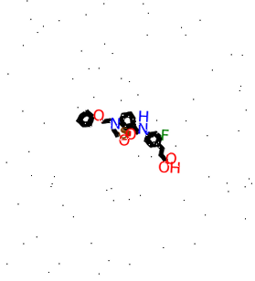 O=C(O)CCc1ccc(NCc2cccc3c2S(=O)(=O)CCN3CCOc2ccccc2)cc1F